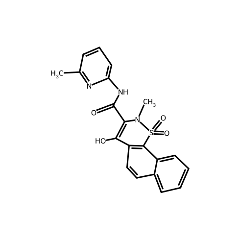 Cc1cccc(NC(=O)C2=C(O)c3ccc4ccccc4c3S(=O)(=O)N2C)n1